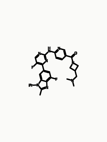 Cc1nc2c(F)cc(-c3nc(Nc4ccc(C(=O)N5CC(CN(C)C)C5)cn4)ncc3F)cc2n1C(C)C